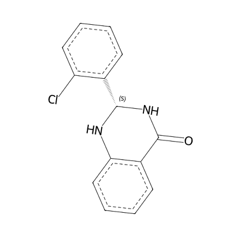 O=C1N[C@@H](c2ccccc2Cl)Nc2ccccc21